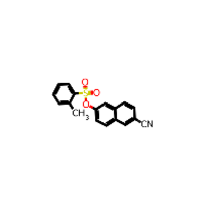 Cc1ccccc1S(=O)(=O)Oc1ccc2cc(C#N)ccc2c1